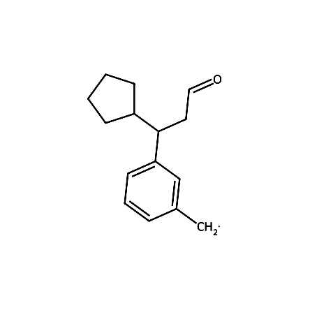 [CH2]c1cccc(C(CC=O)C2CCCC2)c1